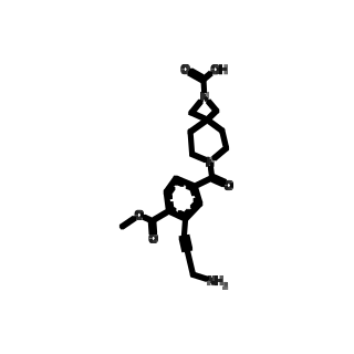 COC(=O)c1ccc(C(=O)N2CCC3(CC2)CN(C(=O)O)C3)cc1C#CCN